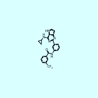 O=C(Nc1cccc(-c2nc(NC3CC3)c3[nH]ccc3n2)c1)c1cccc(C(F)(F)F)c1